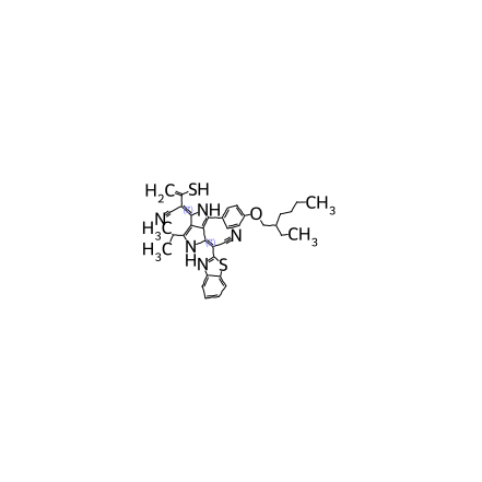 C=C(S)/C(C#N)=c1\[nH]c(-c2ccc(OCC(CC)CCCC)cc2)c2/c(=C(\C#N)c3nc4ccccc4s3)[nH]c(C(C)C)c12